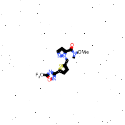 CON(C)C(=O)c1ccnn1Cc1ccc(-c2noc(C(F)(F)F)n2)s1